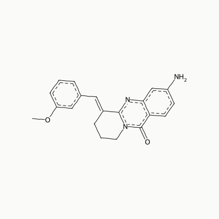 COc1cccc(C=C2CCCn3c2nc2cc(N)ccc2c3=O)c1